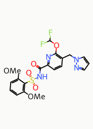 COc1cccc(OC)c1S(=O)(=O)NC(=O)c1ccc(Cn2cccn2)c(OC(F)F)n1